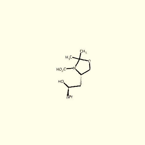 CCC[C@@H](O)C[C@H]1COC(C)(C)N1C(=O)O